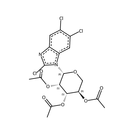 CC(=O)O[C@@H]1[C@H](OC(C)=O)[C@H](n2c(Cl)nc3cc(Cl)c(Cl)cc32)OC[C@H]1OC(C)=O